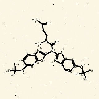 NC(=O)CC[C@H](N)C(=O)N(c1nc2ccc(OC(F)(F)F)cc2s1)c1nc2ccc(OC(F)(F)F)cc2s1